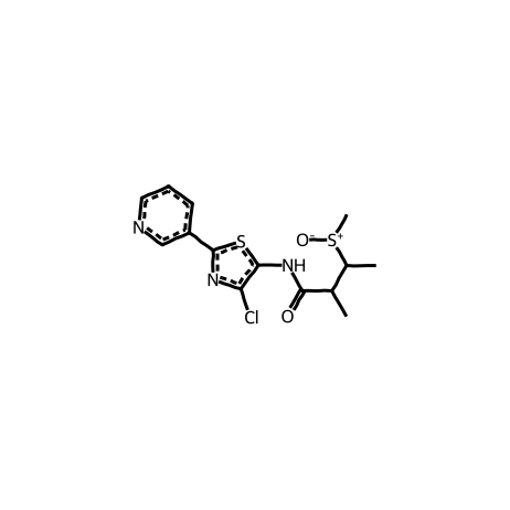 CC(C(=O)Nc1sc(-c2cccnc2)nc1Cl)C(C)[S+](C)[O-]